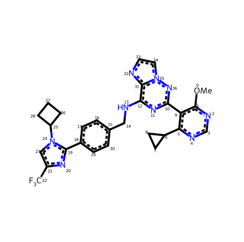 COc1ncnc(C2CC2)c1-c1nc(NCc2ccc(-c3nc(C(F)(F)F)cn3C3CCC3)cc2)c2nccn2n1